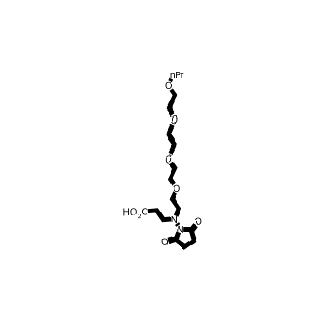 CCCOCCOCCOCCOCCN(CCC(=O)O)N1C(=O)CCC1=O